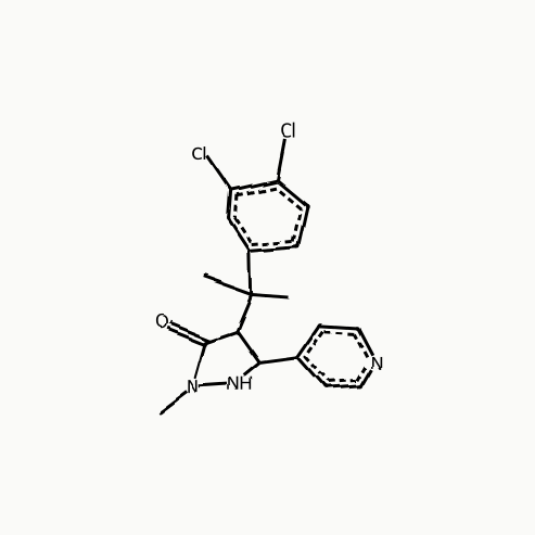 CN1NC(c2ccncc2)C(C(C)(C)c2ccc(Cl)c(Cl)c2)C1=O